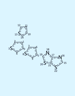 c1ccsc1.c1ccsc1.c1ccsc1.c1nc2ncsc2s1